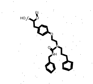 CCOC(Cc1ccc(OCCN(CCCc2ccccc2)C(=O)NCc2ccccc2)cc1)C(=O)O